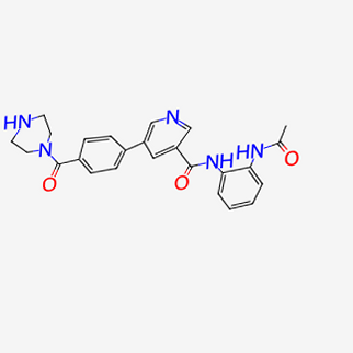 CC(=O)Nc1ccccc1NC(=O)c1cncc(-c2ccc(C(=O)N3CCNCC3)cc2)c1